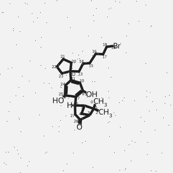 CC1(C)C2CC1[C@H](c1c(O)cc(C3(CCCCCCBr)CCCC3)cc1O)CC2=O